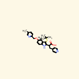 Cc1ccc(COc2ccc3[nH]c(C(Cc4ccncc4)C(=O)O)c(SC(C)(C)C)c3c2C)nc1